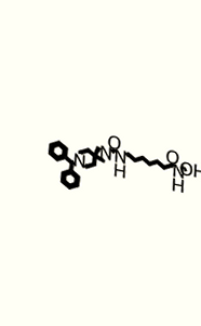 O=C(CCCCCCNC(=O)N1CC2(CCN(C(c3ccccc3)c3ccccc3)CC2)C1)NO